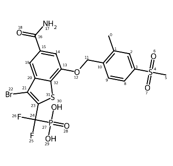 Cc1cc(S(C)(=O)=O)ccc1COc1cc(C(N)=O)cc2c(Br)c(C(F)(F)P(=O)(O)O)sc12